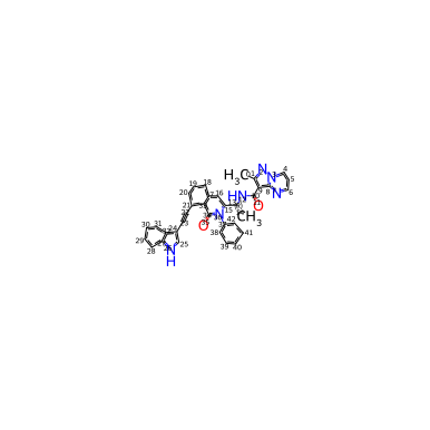 Cc1nn2cccnc2c1C(=O)N[C@H](C)c1cc2cccc(C#Cc3c[nH]c4ccccc34)c2c(=O)n1-c1ccccc1